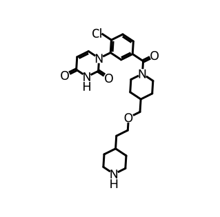 O=C(c1ccc(Cl)c(-n2ccc(=O)[nH]c2=O)c1)N1CCC(COCCC2CCNCC2)CC1